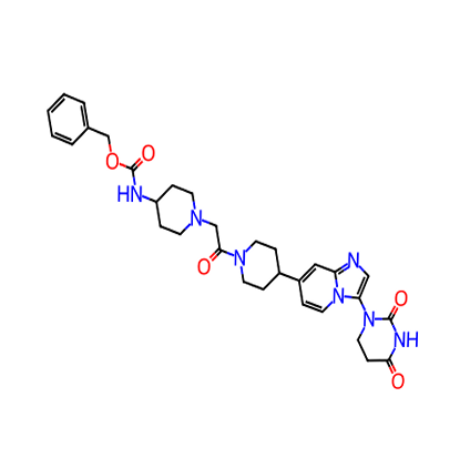 O=C1CCN(c2cnc3cc(C4CCN(C(=O)CN5CCC(NC(=O)OCc6ccccc6)CC5)CC4)ccn23)C(=O)N1